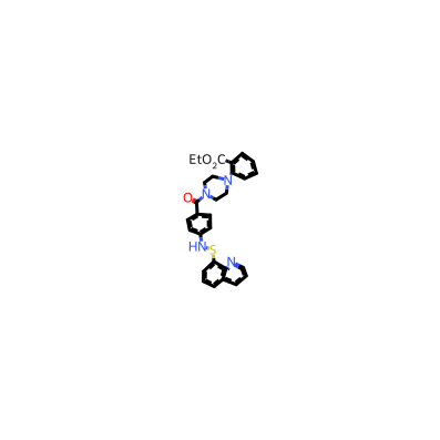 CCOC(=O)c1ccccc1N1CCN(C(=O)c2ccc(NSc3cccc4cccnc34)cc2)CC1